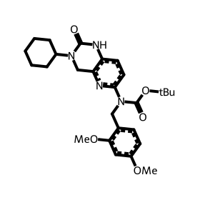 COc1ccc(CN(C(=O)OC(C)(C)C)c2ccc3c(n2)CN(C2CCCCC2)C(=O)N3)c(OC)c1